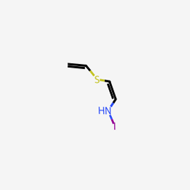 C=CS/C=C\NI